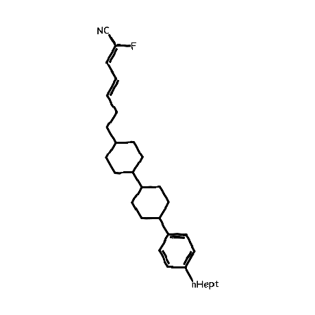 CCCCCCCc1ccc(C2CCC(C3CCC(CCC=CC=C(F)C#N)CC3)CC2)cc1